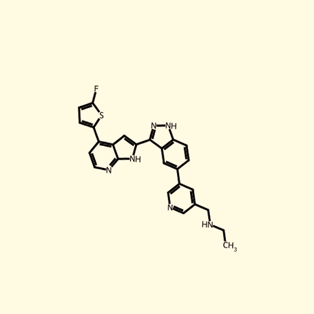 CCNCc1cncc(-c2ccc3[nH]nc(-c4cc5c(-c6ccc(F)s6)ccnc5[nH]4)c3c2)c1